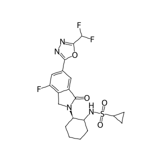 O=C1c2cc(-c3nnc(C(F)F)o3)cc(F)c2CN1[C@@H]1CCCCC1NS(=O)(=O)C1CC1